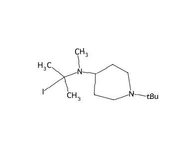 CN(C1CCN(C(C)(C)C)CC1)C(C)(C)I